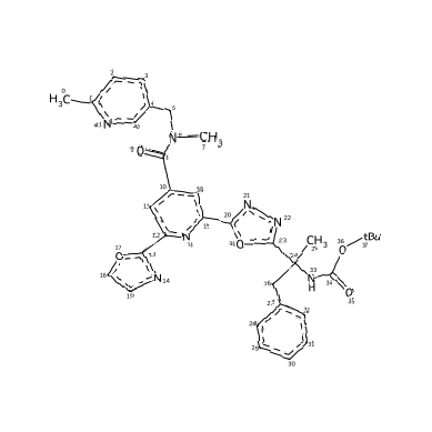 Cc1ccc(CN(C)C(=O)c2cc(-c3ncco3)nc(-c3nnc(C(C)(Cc4ccccc4)NC(=O)OC(C)(C)C)o3)c2)cn1